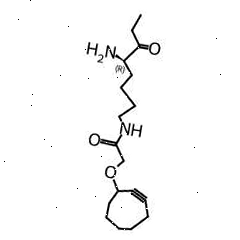 CCC(=O)[C@H](N)CCCCNC(=O)COC1C#CCCCCC1